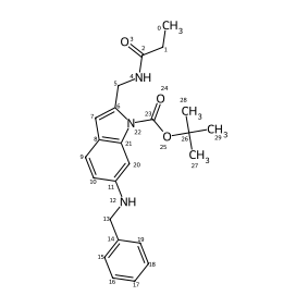 CCC(=O)NCc1cc2ccc(NCc3ccccc3)cc2n1C(=O)OC(C)(C)C